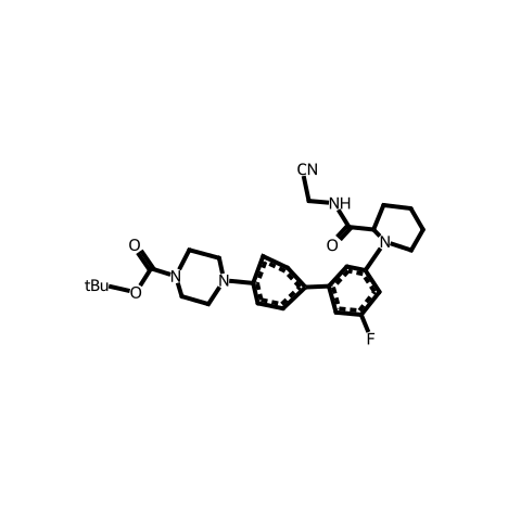 CC(C)(C)OC(=O)N1CCN(c2ccc(-c3cc(F)cc(N4CCCCC4C(=O)NCC#N)c3)cc2)CC1